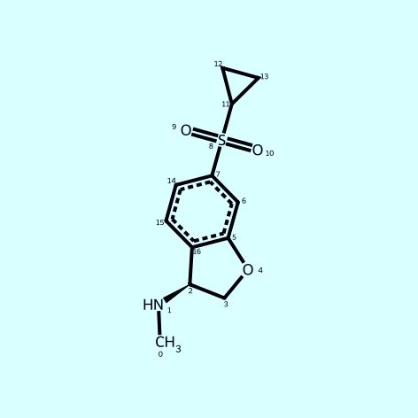 CN[C@@H]1COc2cc(S(=O)(=O)C3CC3)ccc21